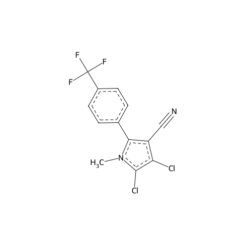 Cn1c(Cl)c(Cl)c(C#N)c1-c1ccc(C(F)(F)F)cc1